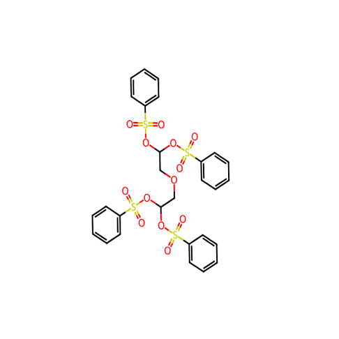 O=S(=O)(OC(COCC(OS(=O)(=O)c1ccccc1)OS(=O)(=O)c1ccccc1)OS(=O)(=O)c1ccccc1)c1ccccc1